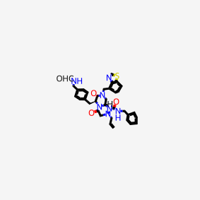 C=CCN1CC(=O)N2[C@@H](Cc3ccc(CNC=O)cc3)C(=O)N(Cc3cccc4scnc34)C[C@@H]2N1C(=O)NCc1ccccc1